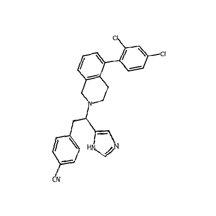 N#Cc1ccc(CC(c2cnc[nH]2)N2CCc3c(cccc3-c3ccc(Cl)cc3Cl)C2)cc1